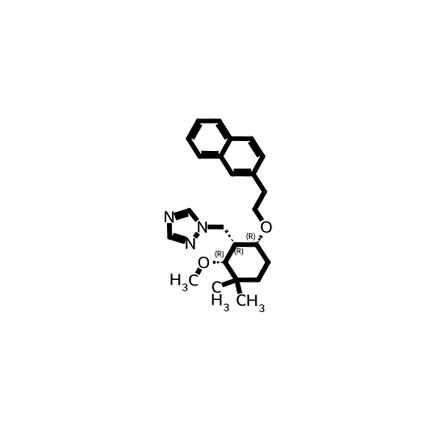 CO[C@@H]1[C@H](Cn2cncn2)[C@H](OCCc2ccc3ccccc3c2)CCC1(C)C